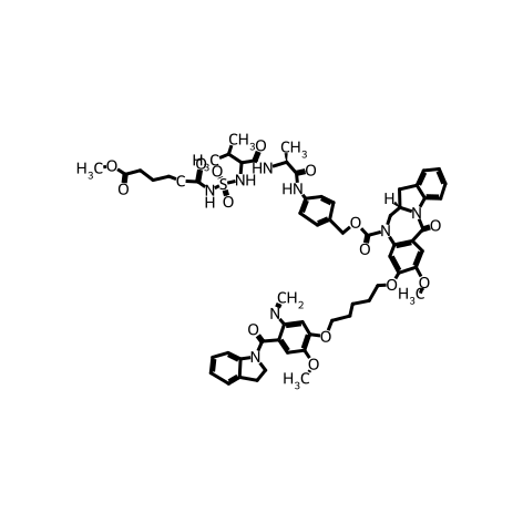 C=Nc1cc(OCCCCCOc2cc3c(cc2OC)C(=O)N2c4ccccc4C[C@H]2CN3C(=O)OCc2ccc(NC(=O)[C@H](C)NC(=O)C(NS(=O)(=O)NC(=O)CCCCC(=O)OC)C(C)C)cc2)c(OC)cc1C(=O)N1CCc2ccccc21